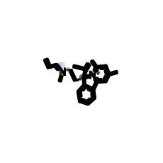 C=C/C=[N+](\C)CC[C@@]1(C(=C)C)c2ccccc2-c2cc(C)cc(C)[n+]21